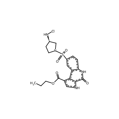 CCCOC(=O)c1c[nH]c2c(=O)[nH]c3ccc(S(=O)(=O)N4CC[C@@H](NCl)C4)cc3c12